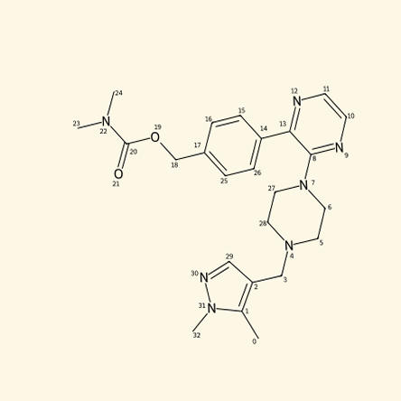 Cc1c(CN2CCN(c3nccnc3-c3ccc(COC(=O)N(C)C)cc3)CC2)cnn1C